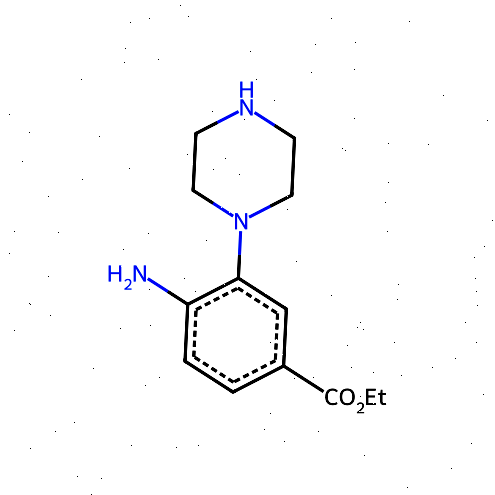 CCOC(=O)c1ccc(N)c(N2CCNCC2)c1